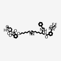 O=C1CCC(N2C(=O)c3cccc(OCCCCCCn4cc(CCCCC(CNC(=O)c5cccc(-c6noc(C(F)(F)F)n6)c5)c5nc(-c6ccccc6)cs5)nn4)c3C2=O)C(=O)N1